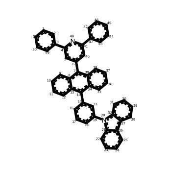 c1ccc(-c2cc(-c3c4ccccc4c(-c4cccc(-n5c6ccccc6c6ccccc65)c4)c4ccccc34)cc(-c3ccccc3)n2)cc1